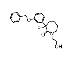 CCC1(c2cccc(OCc3ccccc3)c2)CCCCN(CCO)C1=O